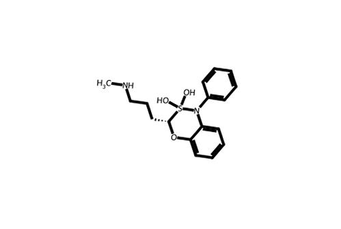 CNCCC[C@H]1Oc2ccccc2N(c2ccccc2)S1(O)O